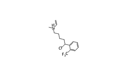 C=C[SiH](C)CCCCC(Cl)c1ccccc1C(F)(F)F